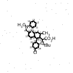 Cc1cc2nc(CN(C)c3ccccc3)ccc2c(-c2ccc(Cl)cc2)c1C(OC(C)(C)C)C(=O)O